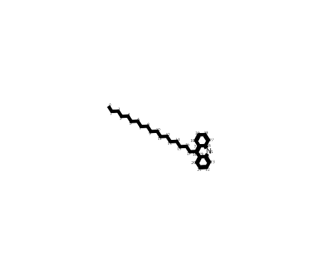 CCCCCCCCCCCCCCCCCCc1c2ccccc2nc2ccccc12